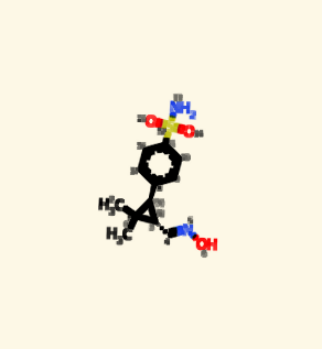 CC1(C)[C@@H](C=NO)[C@@H]1c1ccc(S(N)(=O)=O)cc1